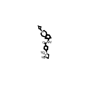 O=C(Nc1ccc2c(c1)CCN(C1CCC1)CC2)c1ccc(N2CCCS2(O)O)cc1